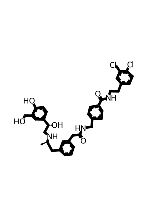 C[C@H](Cc1cccc(CC(=O)NCc2ccc(C(=O)NCCc3ccc(Cl)c(Cl)c3)cc2)c1)NC[C@@H](O)c1ccc(O)c(CO)c1